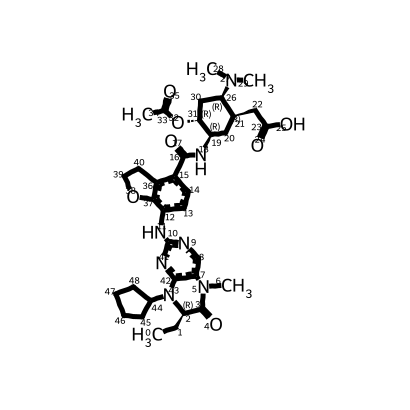 CC[C@@H]1C(=O)N(C)c2cnc(Nc3ccc(C(=O)N[C@@H]4C[C@H](CC(=O)O)[C@H](N(C)C)C[C@H]4OC(C)=O)c4c3OCC4)nc2N1C1CCCC1